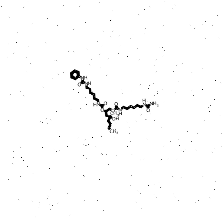 CCCCC(C)(O)CC(COC(=O)NCCCCCCNC(N)=O)OC(=O)NCCCCCCNC(=O)Nc1ccccc1